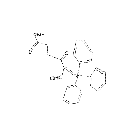 COC(=O)/C=C/C(=O)C(C=O)=P(c1ccccc1)(c1ccccc1)c1ccccc1